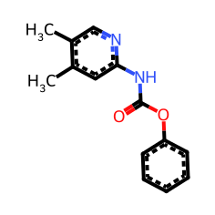 Cc1cnc(NC(=O)Oc2ccccc2)cc1C